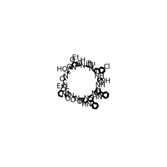 CCO[C@@H]1C[C@H]2C(=O)N[C@@H]([C@@H](C)CC)C(=O)N(C)C(Cc3cccc(Cl)c3)C(=O)N[C@@H](CO)C(=O)N[C@@H](Cc3c[nH]c4ccccc34)C(=O)N[C@H](Cc3c[nH]c4ccccc34)C(=O)N3CCC[C@H]3C(=O)N(C)C(=O)N[C@H](C(=O)N3CCCCC3)CC(=O)N(CC)CC(=O)N(C)[C@H](CO)CC(=O)N2C1